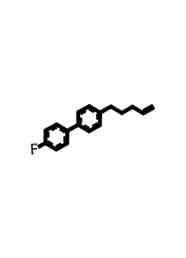 C=CCCCc1ccc(-c2ccc(F)cc2)cc1